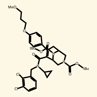 COCCCOc1ccc(C2=C(C(=O)N(Cc3cccc(Cl)c3Cl)C3CC3)C3CN(C(=O)OC(C)(C)C)CC(C2)N3C(=O)OC(C)(C)C)cc1